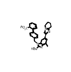 CCCCc1nc2c(C)cc(-c3cn4c(n3)CCCC4)cc2n1Cc1ccc(-c2ccccc2C(=O)O)cc1